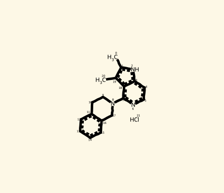 Cc1[nH]c2ccnc(N3CCc4ccccc4C3)c2c1C.Cl